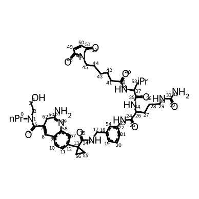 CCCN(CCO)C(=O)C1=Cc2ccc(C3(C(=O)NCc4cccc(NC(=O)C(CCCNC(N)=O)NC(=O)C(NC(=O)CCCCCN5C(=O)C=CC5=O)C(C)C)c4)CC3)cc2N=C(N)C1